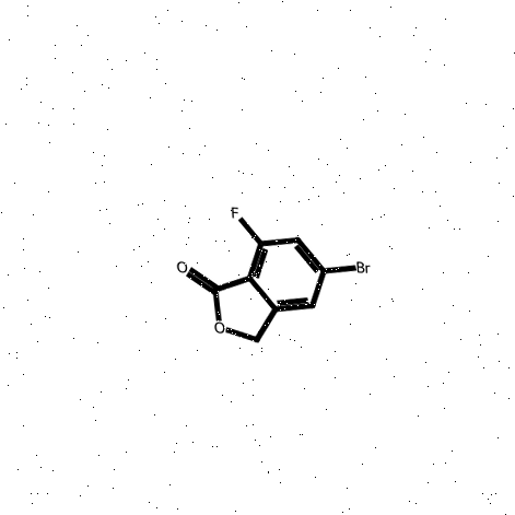 O=C1OCc2cc(Br)cc(F)c21